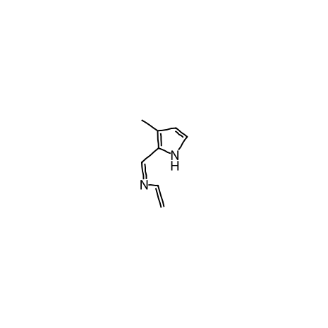 C=C/N=C\c1[nH]ccc1C